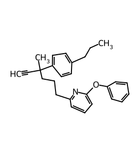 C#CC(C)(CCCc1cccc(Oc2ccccc2)n1)c1ccc(CCC)cc1